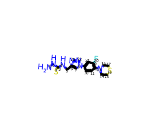 NNC(=S)NCc1cn(-c2ccc(N3CCSCC3)c(F)c2)nn1